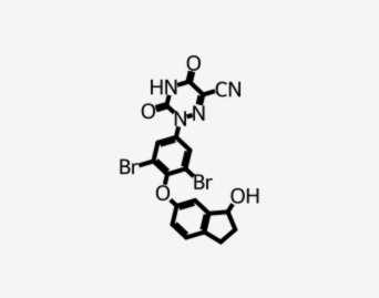 N#Cc1nn(-c2cc(Br)c(Oc3ccc4c(c3)C(O)CC4)c(Br)c2)c(=O)[nH]c1=O